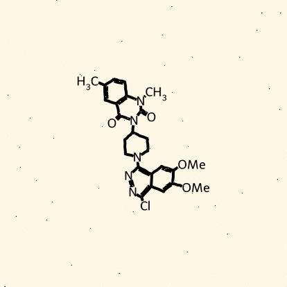 COc1cc2c(Cl)nnc(N3CCC(n4c(=O)c5cc(C)ccc5n(C)c4=O)CC3)c2cc1OC